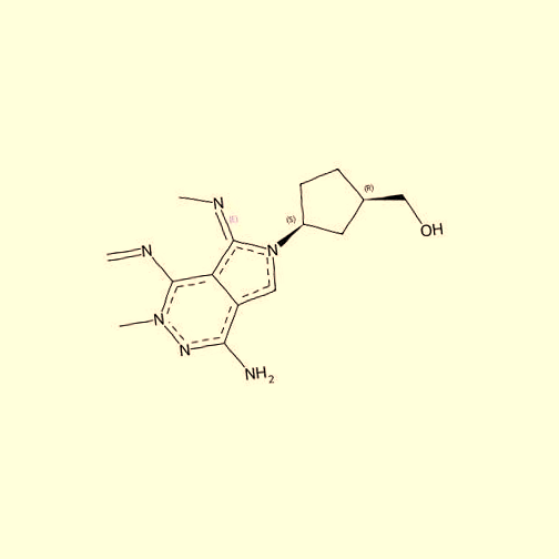 C=Nc1c2/c(=N\C)n([C@H]3CC[C@@H](CO)C3)cc-2c(N)nn1C